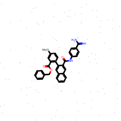 COc1ccc(-c2cc3ccccc3cc2C(=O)Nc2ccc(C(=N)N)cc2)c(C(=O)OCc2ccccc2)c1